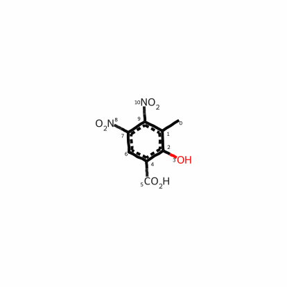 Cc1c(O)c(C(=O)O)cc([N+](=O)[O-])c1[N+](=O)[O-]